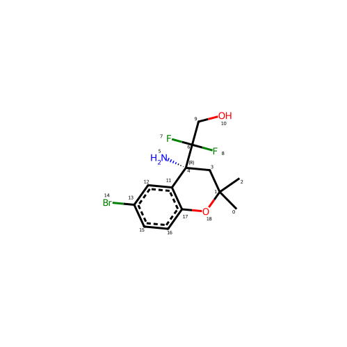 CC1(C)C[C@](N)(C(F)(F)CO)c2cc(Br)ccc2O1